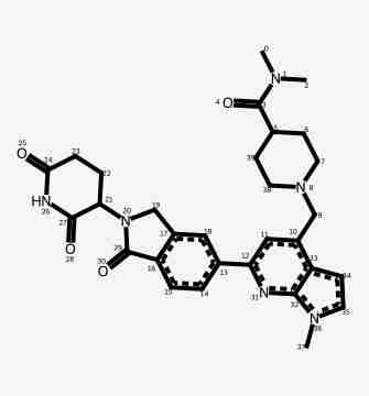 CN(C)C(=O)C1CCN(Cc2cc(-c3ccc4c(c3)CN(C3CCC(=O)NC3=O)C4=O)nc3c2ccn3C)CC1